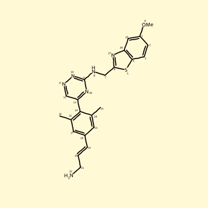 COc1ccc2sc(CNc3nncc(-c4c(C)cc(/C=C/CN)cc4C)n3)nc2c1